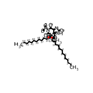 CCCCCCCCCCCCCS(=O)(=O)N1C(=O)N(P(=O)=O)C(=O)C2=NC(=O)NC21CC(C)OCCCCCCCCCCC